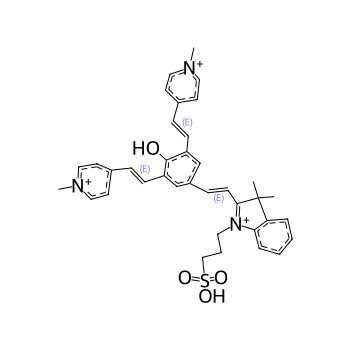 C[n+]1ccc(/C=C/c2cc(/C=C/C3=[N+](CCCS(=O)(=O)O)c4ccccc4C3(C)C)cc(/C=C/c3cc[n+](C)cc3)c2O)cc1